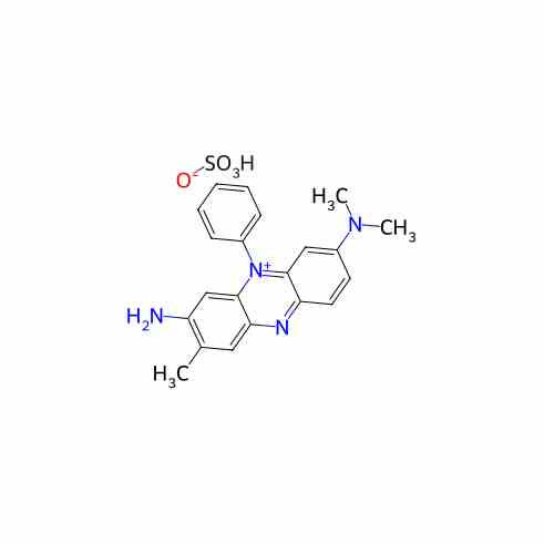 Cc1cc2nc3ccc(N(C)C)cc3[n+](-c3ccccc3)c2cc1N.O=S(=O)([O-])O